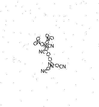 N#Cc1ccc(-c2cc(-c3ccc(-c4ccc(-c5cc(C#N)c(-n6c7ccc(-n8c9ccccc9c9ccccc98)cc7c7cc(-n8c9ccccc9c9ccccc98)ccc76)cc5C#N)cc4)cc3)nc(-c3ccc(C#N)cc3)n2)cc1